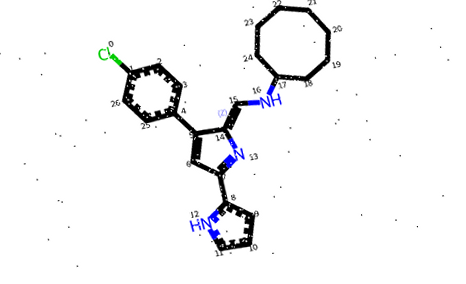 Clc1ccc(C2=CC(c3ccc[nH]3)=N/C2=C\NC2CCCCCCC2)cc1